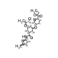 CCS(=O)(=O)c1ccc(Oc2cc(O[C@@H](C)CCl)cc(C(=O)Nc3ccn(C)n3)c2)cn1